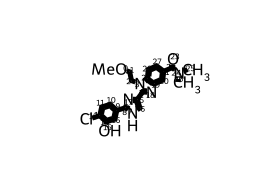 COCCn1c(-c2c[nH]c(-c3ccc(Cl)c(O)c3)n2)nc2cc(C(=O)N(C)C)ccc21